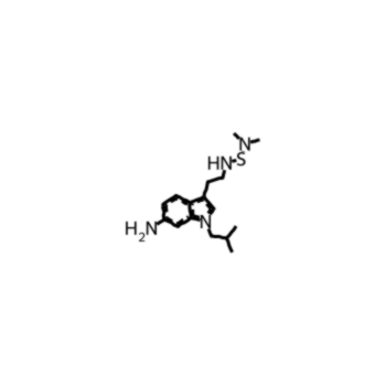 CC(C)Cn1cc(CCNSN(C)C)c2ccc(N)cc21